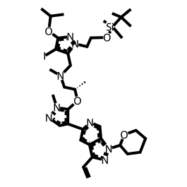 C=Cc1nn(C2CCCCO2)c2cnc(-c3cnn(C)c3O[C@@H](C)CN(C)Cc3c(I)c(OC(C)C)nn3CCO[Si](C)(C)C(C)(C)C)cc12